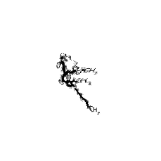 CCCCCCCCOc1ccc2c(c1CCC)OC(CCC(=O)OCC)(CCC(=O)OCC)CC2=O